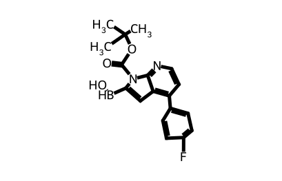 CC(C)(C)OC(=O)n1c(BO)cc2c(-c3ccc(F)cc3)ccnc21